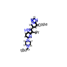 COc1cc(-c2[nH]c3ccc(N4CCN(CC(C)(C)C)CC4)nc3c2C(C)C)cn2ncnc12